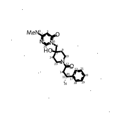 CNc1cc(=O)n(CC2(O)CCN(C(=O)C[C@@H](C)c3ccccc3)CC2)cn1